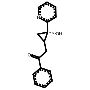 O=C(CC1C[C@@]1(O)c1ccccn1)c1ccccc1